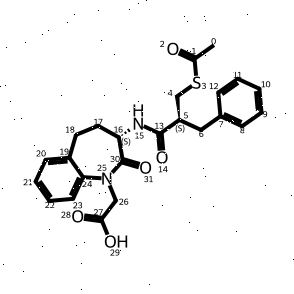 CC(=O)SC[C@@H](Cc1ccccc1)C(=O)N[C@H]1CCc2ccccc2N(CC(=O)O)C1=O